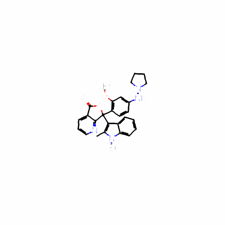 CCOc1cc(NN2CCCC2)ccc1C1(c2c(C)n(CC)c3ccccc23)OC(=O)c2cccnc21